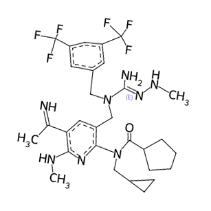 CN/N=C(\N)N(Cc1cc(C(F)(F)F)cc(C(F)(F)F)c1)Cc1cc(C(C)=N)c(NC)nc1N(CC1CC1)C(=O)C1CCCC1